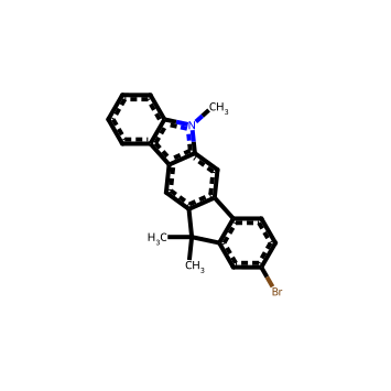 Cn1c2ccccc2c2cc3c(cc21)-c1ccc(Br)cc1C3(C)C